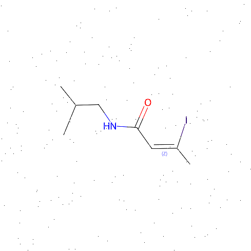 C/C(I)=C/C(=O)NCC(C)C